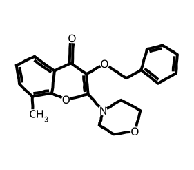 Cc1cccc2c(=O)c(OCc3ccccc3)c(N3CCOCC3)oc12